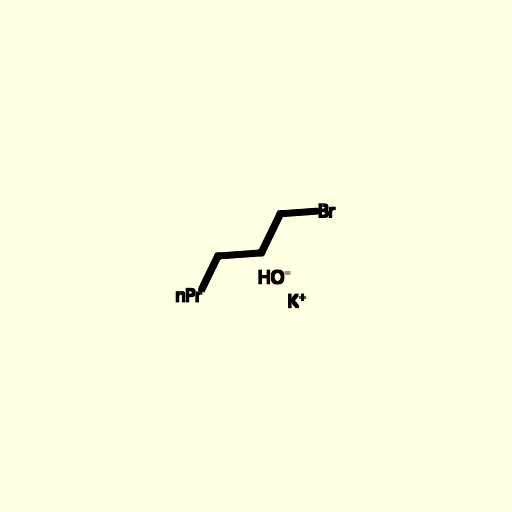 CCCCCCBr.[K+].[OH-]